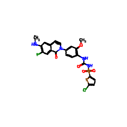 CNc1cc2ccn(-c3ccc(NC(=O)NS(=O)(=O)c4ccc(Cl)s4)c(OC)c3)c(=O)c2cc1F